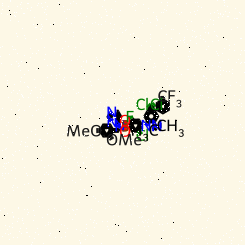 COc1ccc(CN(c2ccncn2)S(=O)(=O)c2cc(Cl)c(NC3CC4C(Cl)(Cl)[C@@]4(c4cccc(C(F)(F)F)c4)C[C@@H]3N(C)C)cc2F)c(OC)c1